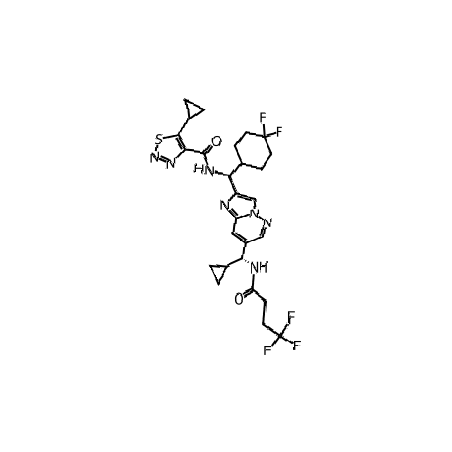 O=C(CCC(F)(F)F)N[C@@H](c1cnn2cc([C@@H](NC(=O)c3nnsc3C3CC3)C3CCC(F)(F)CC3)nc2c1)C1CC1